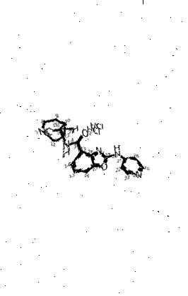 Cl.Cl.O=C(N[C@@H]1CN2CCC1CC2)c1cccc2oc(Nc3ccncc3)nc12